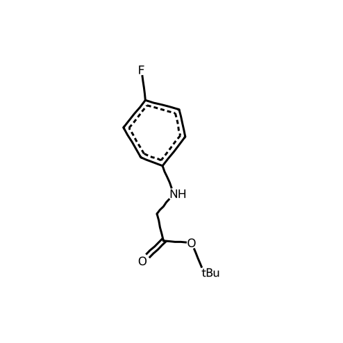 CC(C)(C)OC(=O)CNc1ccc(F)cc1